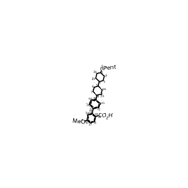 CCCCCC1CCC(C2CCC(c3ccc(-c4cc(OC)ccc4C(=O)O)cc3)CC2)CC1